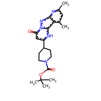 Cc1cc(C)c2c(n1)nn1c(=O)cc(C3CCN(C(=O)OC(C)(C)C)CC3)[nH]c21